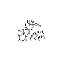 CC(C)(C)OC(=O)C(C(=O)OC(C)(C)C)c1ccccc1N